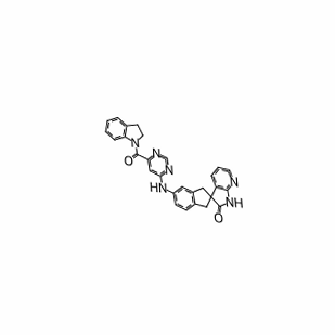 O=C(c1cc(Nc2ccc3c(c2)CC2(C3)C(=O)Nc3ncccc32)ncn1)N1CCc2ccccc21